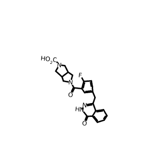 O=C(O)N1CC2CN(C(=O)c3cc(Cc4n[nH]c(=O)c5ccccc45)ccc3F)CC2C1